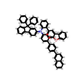 c1ccc(C2(c3ccccc3)c3ccccc3-c3ccc(N(c4ccc(-c5ccc(-c6ccc7ccccc7c6)cc5)cc4)c4ccccc4-c4ccc5oc6ccccc6c5c4)cc32)cc1